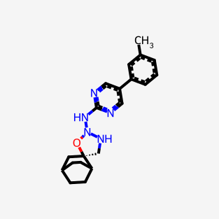 Cc1cccc(-c2cnc(NN3NC[C@]4(CC5CCC4CC5)O3)nc2)c1